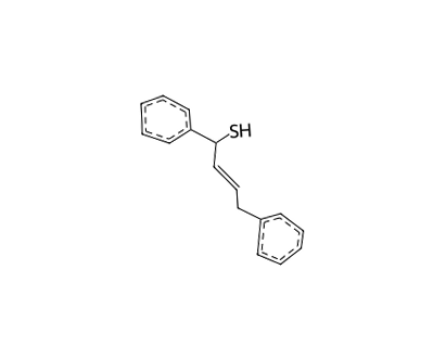 SC(C=CCc1ccccc1)c1ccccc1